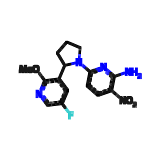 COc1ncc(F)cc1C1CCCN1c1ccc([N+](=O)[O-])c(N)n1